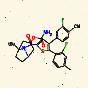 Cc1ccc(-c2sc(C(=O)N3C4CCC3(C(C)(C)C)CC(OC(N)=O)C4)cc2-c2ccc(C#N)c(F)c2)c(F)c1